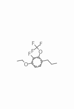 CCCc1ccc(OCC)c(F)c1OC(F)(F)F